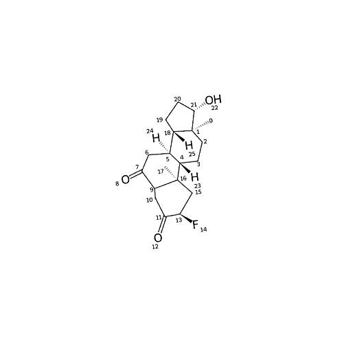 C[C@]12CC[C@H]3[C@@H](CC(=O)C4CC(=O)[C@H](F)C[C@@]43C)[C@@H]1CC[C@@H]2O